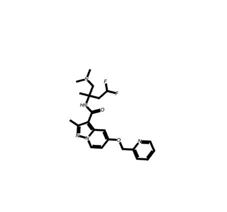 Cc1nn2ccc(OCc3ccccn3)cc2c1C(=O)NC(C)(CC(F)F)CN(C)C